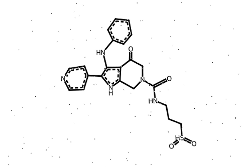 O=C1CN(C(=O)NCCC[SH](=O)=O)Cc2[nH]c(-c3ccncc3)c(Nc3ccccc3)c21